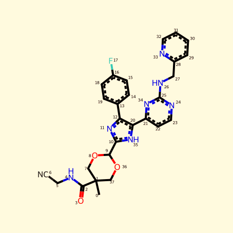 CC1(C(=O)NCC#N)COC(c2nc(-c3ccc(F)cc3)c(-c3ccnc(NCc4ccccn4)n3)[nH]2)OC1